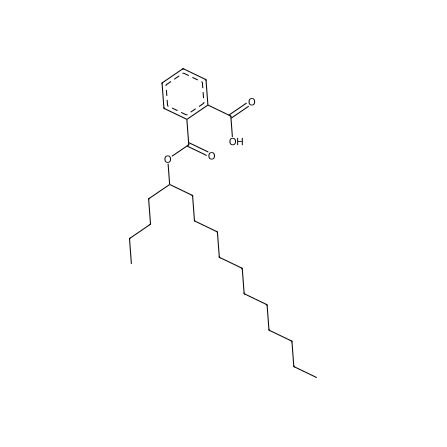 CCCCCCCCCCCC(CCCC)OC(=O)c1ccccc1C(=O)O